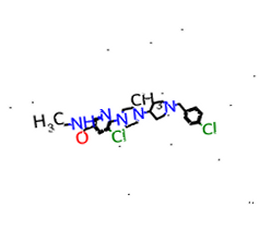 CCNC(=O)c1cnc(N2CCN(C3CCN(Cc4ccc(Cl)cc4)CC3)[C@@H](C)C2)c(Cl)c1